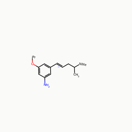 CNC(C)C/C=C/c1cc(N)cc(OC(C)C)c1